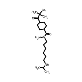 CC(C)NCCCCCCN(N)C(=O)C1CCC(C(=O)C(C)(C)O)CC1